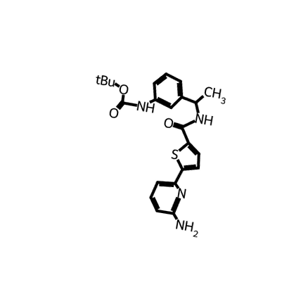 CC(NC(=O)c1ccc(-c2cccc(N)n2)s1)c1cccc(NC(=O)OC(C)(C)C)c1